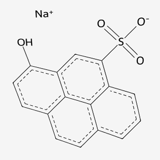 O=S(=O)([O-])c1cc2c(O)ccc3ccc4cccc1c4c32.[Na+]